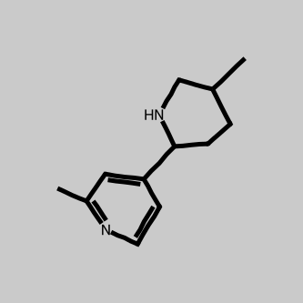 Cc1cc(C2CCC(C)CN2)ccn1